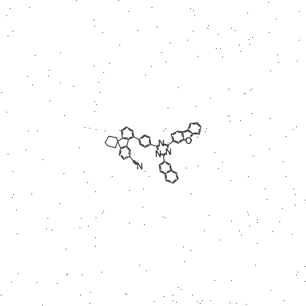 N#Cc1ccc2c(c1)-c1c(-c3ccc(-c4nc(-c5ccc6ccccc6c5)nc(-c5ccc6c(c5)oc5ccccc56)n4)cc3)cccc1C21CCCCC1